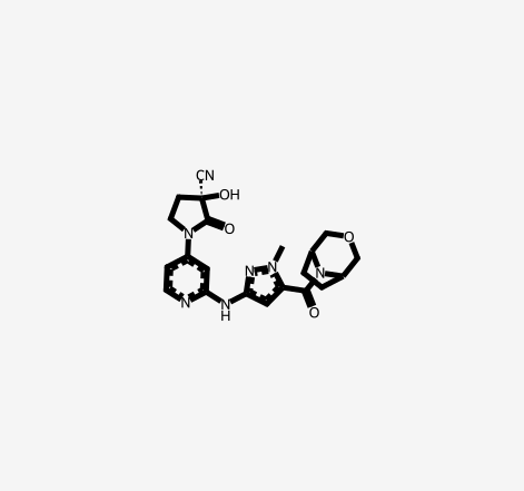 Cn1nc(Nc2cc(N3CC[C@](O)(C#N)C3=O)ccn2)cc1C(=O)N1C2CCC1COC2